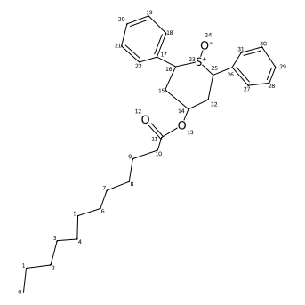 CCCCCCCCCCCC(=O)OC1CC(c2ccccc2)[S+]([O-])C(c2ccccc2)C1